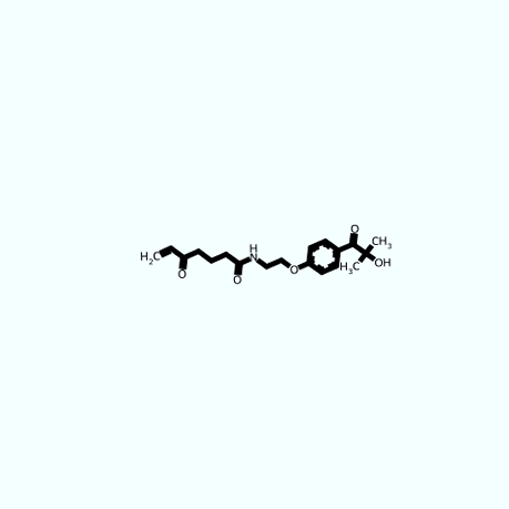 C=CC(=O)CCCC(=O)NCCOc1ccc(C(=O)C(C)(C)O)cc1